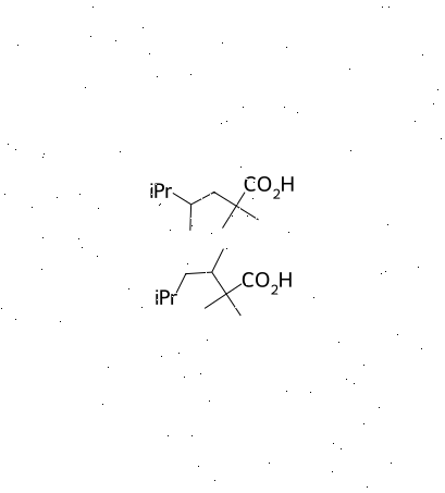 CC(C)C(C)CC(C)(C)C(=O)O.CC(C)CC(C)C(C)(C)C(=O)O